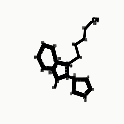 Cc1c(-n2ccnc2)n(CCCCC#N)c2ccccc12